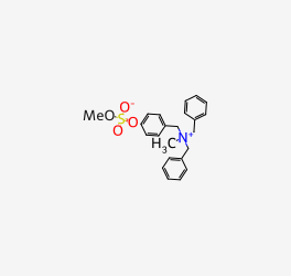 COS(=O)(=O)[O-].C[N+](Cc1ccccc1)(Cc1ccccc1)Cc1ccccc1